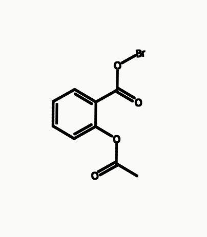 CC(=O)Oc1ccccc1C(=O)OBr